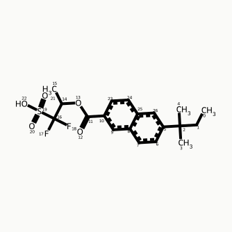 CCC(C)(C)c1ccc2cc(C(=O)OC(C)C(F)(F)S(=O)(=O)O)ccc2c1